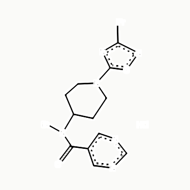 CCN(C(=O)c1cncnc1)C1CCN(c2nc(C(C)C)no2)CC1.Cl